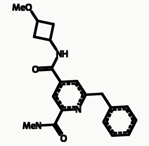 CNC(=O)c1cc(C(=O)NC2CC(OC)C2)cc(Cc2ccccc2)n1